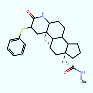 CC(C)(C)NC(=O)[C@H]1CCC2C3CCC4NC(=O)C(Sc5ccccc5)C[C@]4(C)C3CC[C@@]21C